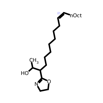 CCCCCCCC/C=C\CCCCCCCC(C1=NCCO1)C(C)O